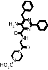 Nc1c(Cc2ccccc2)nc(-c2ccccc2)nc1C(=O)NCC(=O)N1CCN(C(=O)O)CC1